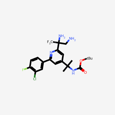 CC(C)(C)OC(=O)NC(C)(C)c1cc(-c2ccc(F)c(Cl)c2)nc(C(N)(CN)C(F)(F)F)c1